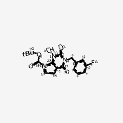 Cn1c(=O)n(Cc2cccc(F)c2)c(=O)c2ccn(C(=O)OC(C)(C)C)c21